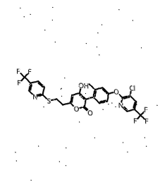 Cc1cc(Oc2ncc(C(F)(F)F)cc2Cl)ccc1-c1c(O)cc(CCSc2ccc(C(F)(F)F)cn2)oc1=O